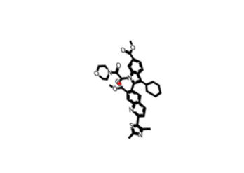 COC(=O)c1ccc2c(C3CCCCC3)c(-c3cc4ccc(-c5sc(C)nc5C)nc4cc3C(=O)OC)n(C(Cl)C(=O)N3CCOCC3)c2c1